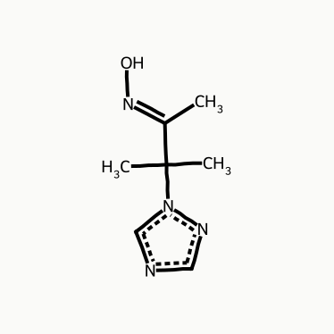 C/C(=N\O)C(C)(C)n1cncn1